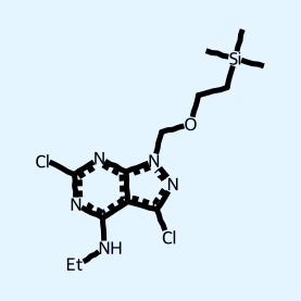 CCNc1nc(Cl)nc2c1c(Cl)nn2COCC[Si](C)(C)C